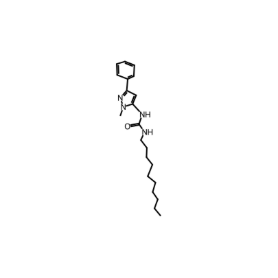 CCCCCCCCCCNC(=O)Nc1cc(-c2ccccc2)nn1C